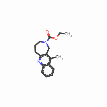 CCOC(=O)N1CCCc2nc3ccccc3c(C)c2C1